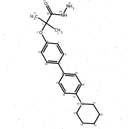 CC(C)(Oc1ccc(-c2ccc(N3CCCCC3)cc2)cc1)C(=O)NN